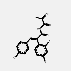 C=C(I)C(=O)NC(=O)/C(=C/c1ccc(Cl)cc1)c1ccc(F)cc1F